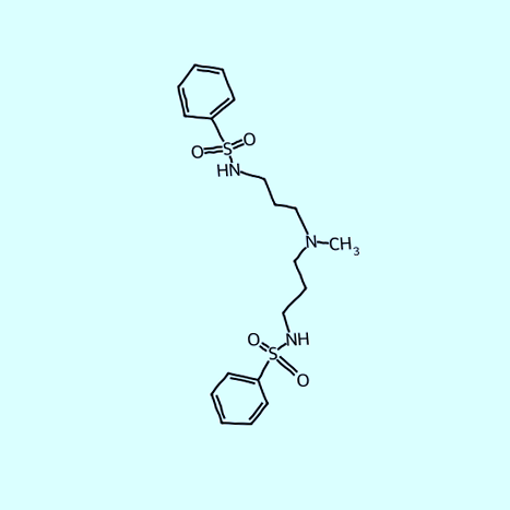 CN(CCCNS(=O)(=O)c1ccccc1)CCCNS(=O)(=O)c1ccccc1